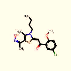 CCCCN1C(C)=C(/C(C)=N\O)S/C1=C\C(=O)c1cc(Cl)ccc1OC